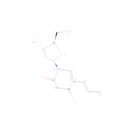 O=c1[nH]c(=O)n([C@H]2C[C@H](O)[C@@H](CO)S2)cc1/C=C/Br